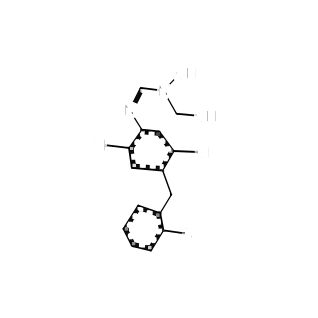 CCN(C)/C=N\c1cc(C)c(Cc2ccccc2Br)cc1Cl